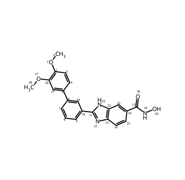 COc1ccc(-c2cccc(-c3nc4ccc(C(=O)NO)cc4[nH]3)c2)cc1OC